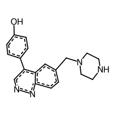 Oc1ccc(-c2cnnc3ccc(CN4CCNCC4)cc23)cc1